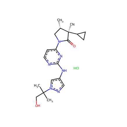 C[C@H]1CN(c2ccnc(Nc3cnn(C(C)(C)CO)c3)n2)C(=O)[C@]1(C#N)C1CC1.Cl